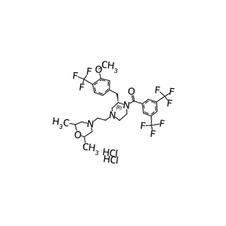 COc1cc(C[C@@H]2CN(CCN3CC(C)OC(C)C3)CCN2C(=O)c2cc(C(F)(F)F)cc(C(F)(F)F)c2)ccc1C(F)(F)F.Cl.Cl